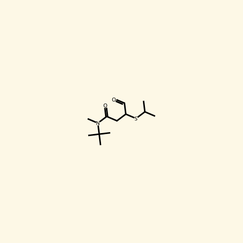 CC(C)SC(C=O)CC(=O)N(C)C(C)(C)C